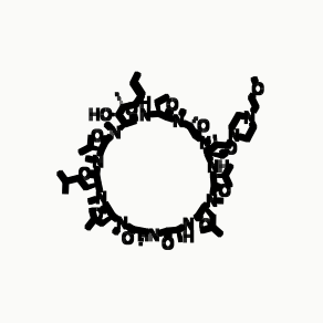 C/C=C/C[C@@H](C)[C@@H](O)[C@H]1C(=O)N[C@@H](CC)C(=O)N(C)[C@H](C)C(=O)N(C)[C@](C=O)([C@H](C)CN2CCN(CCOC)CC2)N[C@@H](C(C)C)C(=O)N(C)[C@@H](CC(C)C)C(=O)N[C@@H](C)C(=O)N[C@H](C)C(=O)N(C)[C@@H](CC(C)C)C(=O)N(C)[C@@H](CCC(C)C)C(=O)N(C)[C@@H](C(C)C)C(=O)N1C